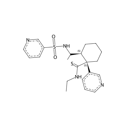 CCNC(=S)[C@@]1(c2cccnc2)CCCC[C@@H]1C(C)NS(=O)(=O)c1cccnc1